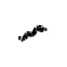 [CH2]C(F)(F)OC(F)(F)C(F)(F)OC(F)(F)C(F)(F)OC(F)(F)C(F)(F)C(F)(F)C(F)(F)F